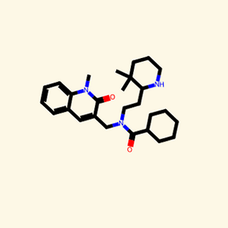 Cn1c(=O)c(CN(CCC2NCCCC2(C)C)C(=O)C2CCCCC2)cc2ccccc21